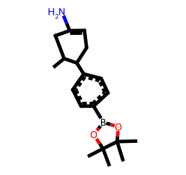 CC1CC(N)=CCC1c1ccc(B2OC(C)(C)C(C)(C)O2)cc1